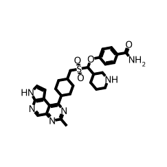 Cc1nc(C2CCC(CS(=O)(=O)C(Oc3ccc(C(N)=O)cc3)C3CCCNC3)CC2)c2c(cnc3[nH]ccc32)n1